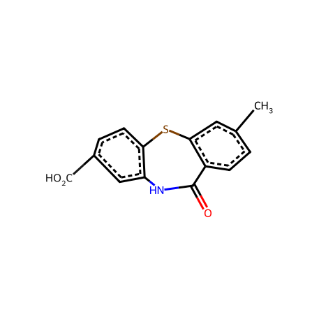 Cc1ccc2c(c1)Sc1ccc(C(=O)O)cc1NC2=O